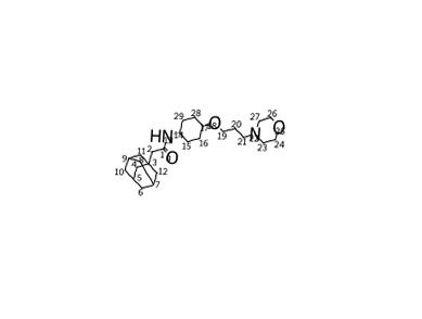 O=C(CC12CC3CC(CC(C3)C1)C2)N[C@H]1CC[C@H](OCCCN2CCOCC2)CC1